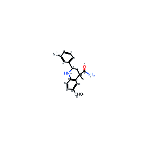 CC1(C(N)=O)CC(c2cccc(C#N)c2)Nc2ccc([C]=O)cc21